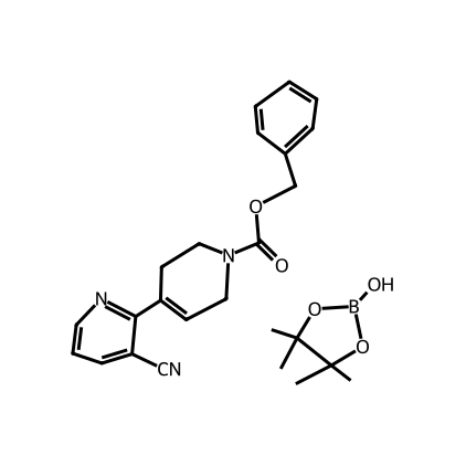 CC1(C)OB(O)OC1(C)C.N#Cc1cccnc1C1=CCN(C(=O)OCc2ccccc2)CC1